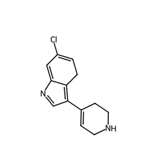 ClC1=CCC2=C(C3=CCNCC3)C=NC2=C1